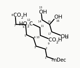 CCCCCCCCCCCCCCCCCC(=O)O.O=C(O)CCC(=O)O.OCC(O)CO